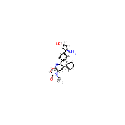 C[C@]1(O)C[C@@](N)(c2ccc(-c3nc4c(cc3-c3ccccc3)N(CC(F)(F)F)C(=O)CO4)cc2)C1